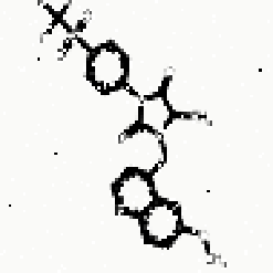 COc1ccc2nccc(CN3C(=O)N(c4ccc(S(=O)(=O)C(F)(F)F)cc4)C(=O)C3C)c2c1